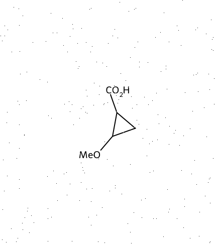 COC1CC1C(=O)O